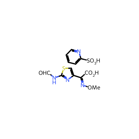 CO/N=C(\C(=O)O)c1csc(NC=O)n1.O=S(=O)(O)c1ccccn1